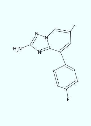 Cc1cc(-c2ccc(F)cc2)c2nc(N)nn2c1